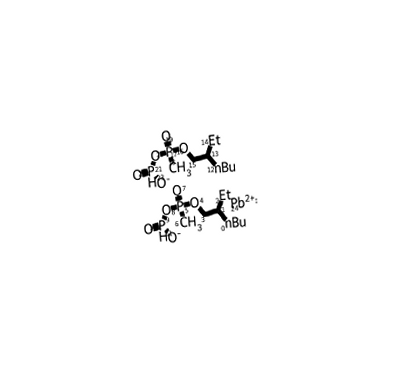 CCCCC(CC)COP(C)(=O)O[PH](=O)[O-].CCCCC(CC)COP(C)(=O)O[PH](=O)[O-].[Pb+2]